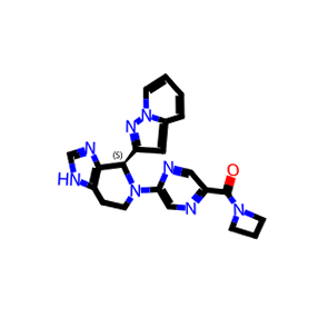 O=C(c1cnc(N2CCc3[nH]cnc3[C@H]2c2cc3ccccn3n2)cn1)N1CCC1